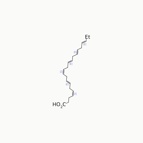 CC/C=C/C/C=C/C/C=C/C/C=C\C/C=C/C/C=C\CCC(=O)O